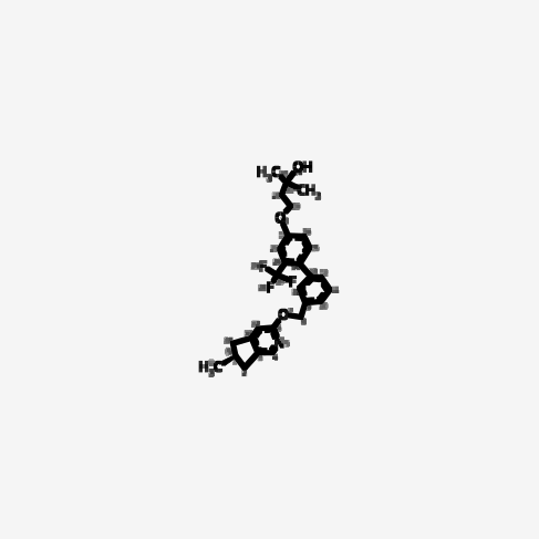 C[C@@H]1Cc2cnc(OCc3cccc(-c4ccc(OCCC(C)(C)O)cc4C(F)(F)F)c3)cc2C1